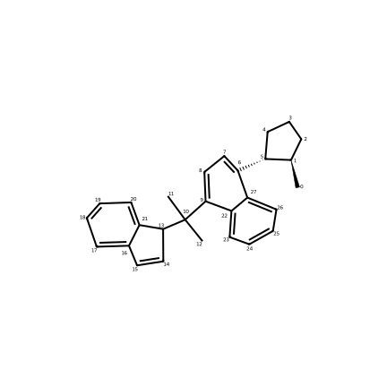 C[C@@H]1CCC[C@H]1c1ccc(C(C)(C)C2C=Cc3ccccc32)c2ccccc12